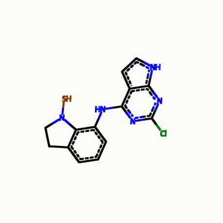 SN1CCc2cccc(Nc3nc(Cl)nc4[nH]ccc34)c21